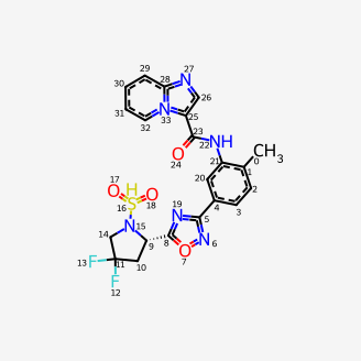 Cc1ccc(-c2noc([C@@H]3CC(F)(F)CN3[SH](=O)=O)n2)cc1NC(=O)c1cnc2ccccn12